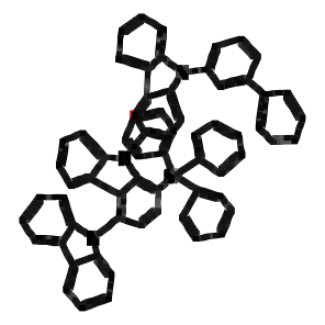 c1ccc(-c2cccc(-n3c4ccccc4c4cc(-n5c6ccccc6c6c(-n7c8ccccc8c8ccccc87)ccc([Si](c7ccccc7)(c7ccccc7)c7ccccc7)c65)ccc43)c2)cc1